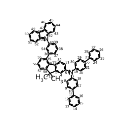 CC1(C)c2cc(N(c3ccc(-c4ccccc4)cc3)c3ccc(-c4ccccc4)cc3)ccc2-c2c(-c3cccc(-n4c5ccccc5c5ccccc54)c3)cccc21